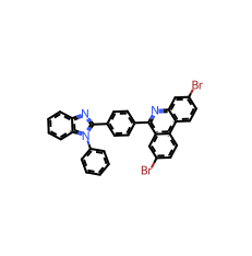 Brc1ccc2c(c1)nc(-c1ccc(-c3nc4ccccc4n3-c3ccccc3)cc1)c1cc(Br)ccc12